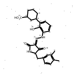 Cc1ccc(CC2NC(=O)C(=NNc3cccc(C4CCCC(C(=O)O)C4)c3O)C2=O)cc1C